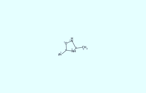 CC1NOC(C(C)C)N1